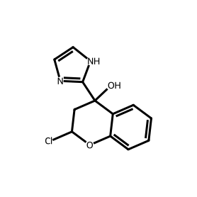 OC1(c2ncc[nH]2)CC(Cl)Oc2ccccc21